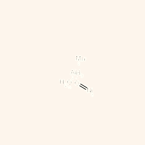 O.[AlH3].[Mn].[O]=[Ni]